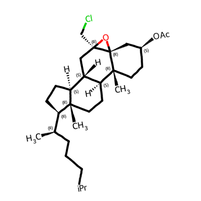 CC(=O)O[C@H]1CC[C@]2(C)[C@H]3CC[C@]4(C)[C@@H]([C@H](C)CCCC(C)C)CC[C@H]4[C@@H]3C[C@@]3(CCl)O[C@@]32C1